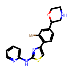 Brc1cc(C2CNCCO2)ccc1-c1csc(Nc2ccccn2)n1